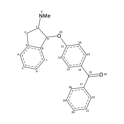 CNC1Cc2ccccc2C1Oc1ccc(C(=O)c2ccccc2)cc1